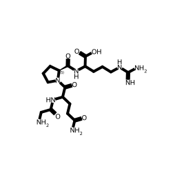 N=C(N)NCCCC(NC(=O)[C@@H]1CCCN1C(=O)C(CCC(N)=O)NC(=O)CN)C(=O)O